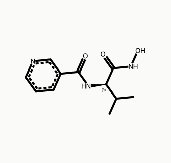 CC(C)[C@@H](NC(=O)c1cccnc1)C(=O)NO